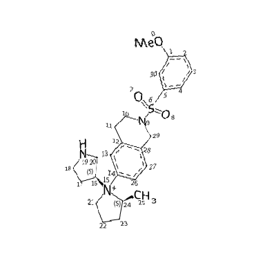 COc1cccc(S(=O)(=O)N2CCc3cc([N+]4([C@H]5CCNC5)CCC[C@@H]4C)ccc3C2)c1